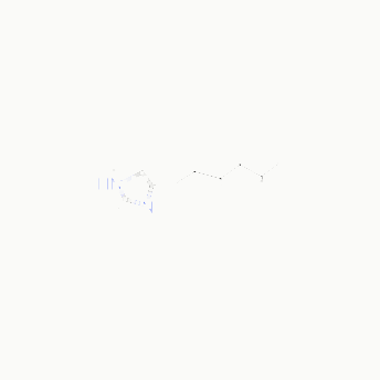 CCCCCC.c1c[nH]cn1